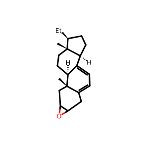 CC[C@H]1CC[C@H]2C3=CC=C4CC5OC5C[C@]4(C)[C@H]3CC[C@]12C